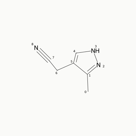 Cc1n[nH]cc1CC#N